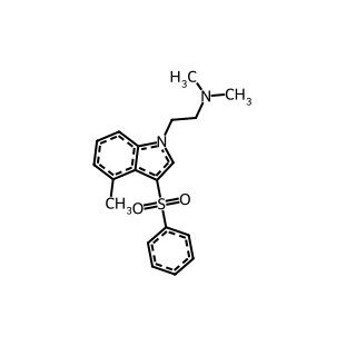 Cc1cccc2c1c(S(=O)(=O)c1ccccc1)cn2CCN(C)C